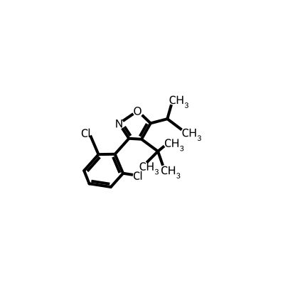 CC(C)c1onc(-c2c(Cl)cccc2Cl)c1C(C)(C)C